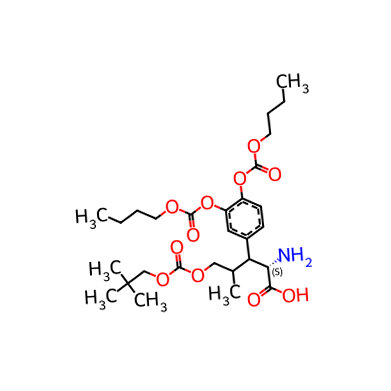 CCCCOC(=O)Oc1ccc(C(C(C)COC(=O)OCC(C)(C)C)[C@H](N)C(=O)O)cc1OC(=O)OCCCC